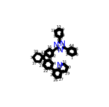 c1ccc(-c2nc(-c3ccccc3)nc(-c3ccc(C4(c5ccc(-c6cccc7cccnc67)cc5)CCCCC4)cc3)n2)cc1